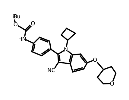 CC[C@H](C)OC(=O)Nc1ccc(-c2c(C#N)c3ccc(OC4CCOCC4)cc3n2C2CCC2)cc1